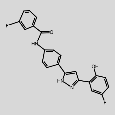 O=C(Nc1ccc(-c2cc(-c3cc(F)ccc3O)n[nH]2)cc1)c1cccc(F)c1